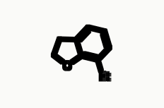 CCc1cccc2c1OCC2